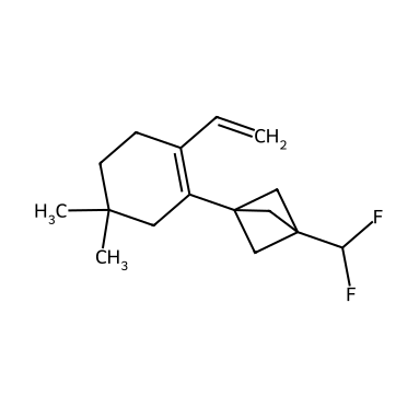 C=CC1=C(C23CC(C(F)F)(C2)C3)CC(C)(C)CC1